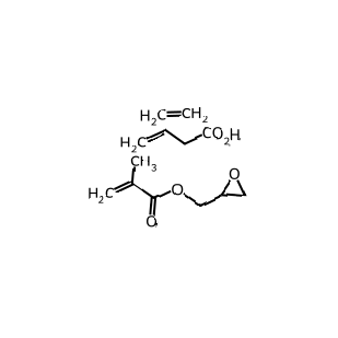 C=C.C=C(C)C(=O)OCC1CO1.C=CCC(=O)O